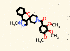 COc1ccc(C(=O)N2CCC3(CC2)Oc2ccccc2-c2c3cnn2C)c(OC)c1OC